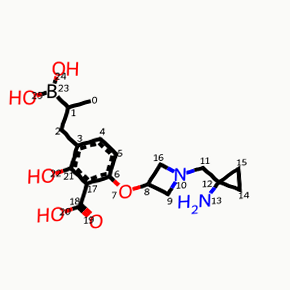 CC(Cc1ccc(OC2CN(CC3(N)CC3)C2)c(C(=O)O)c1O)B(O)O